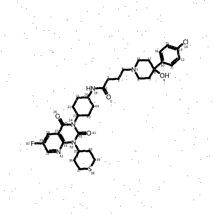 O=C(CCCN1CCC(O)(c2ccc(Cl)cc2)CC1)NC1CCC(n2c(=O)c3cc(F)cnc3n(C3CCSCC3)c2=O)CC1